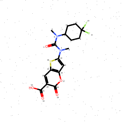 CN(C(=O)N(C)C1CCC(F)(F)CC1)c1cc2oc(=O)c(C(=O)O)cc2s1